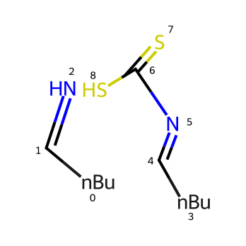 CCCCC=N.CCCCC=NC(=S)S